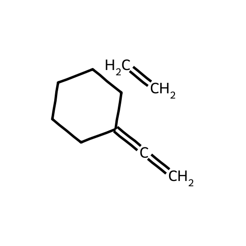 C=C.C=C=C1CCCCC1